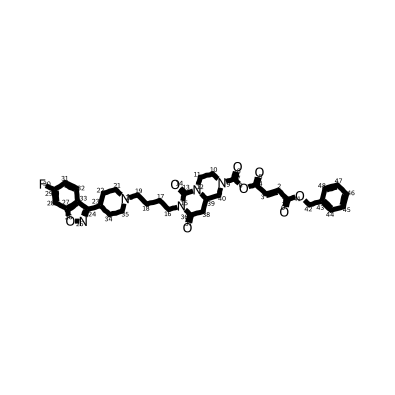 O=C(/C=C/C(=O)OC(=O)N1CCN2C(=O)N(CCCCN3CCC(c4noc5cc(F)ccc45)CC3)C(=O)CC2C1)OCc1ccccc1